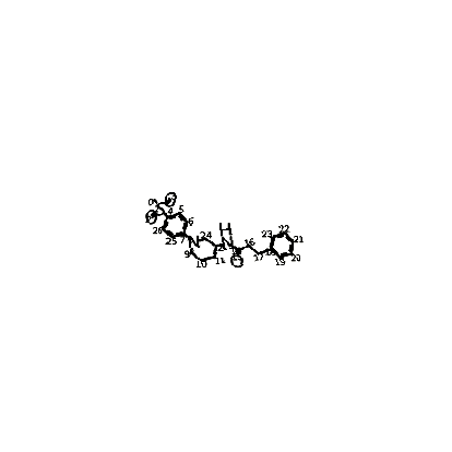 CS(=O)(=O)c1ccc(N2CCCC(NC(=O)CCc3ccccc3)C2)cc1